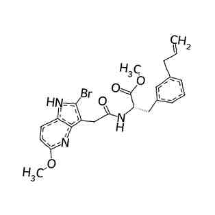 C=CCc1cccc(C[C@H](NC(=O)Cc2c(Br)[nH]c3ccc(OC)nc23)C(=O)OC)c1